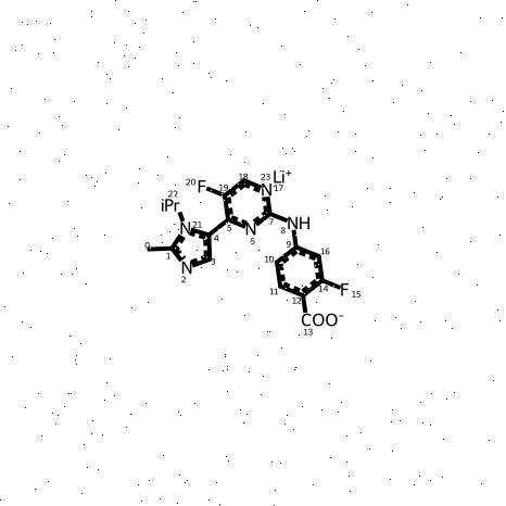 Cc1ncc(-c2nc(Nc3ccc(C(=O)[O-])c(F)c3)ncc2F)n1C(C)C.[Li+]